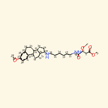 COC(=O)CC(OC)C(=O)NCCCCCCNC1CCC2C3CCc4cc(OC)ccc4C3CC[C@]12C